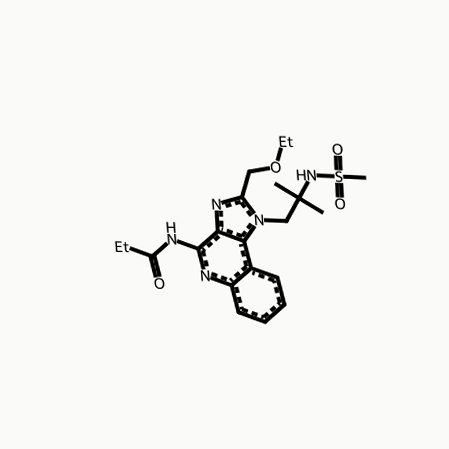 CCOCc1nc2c(NC(=O)CC)nc3ccccc3c2n1CC(C)(C)NS(C)(=O)=O